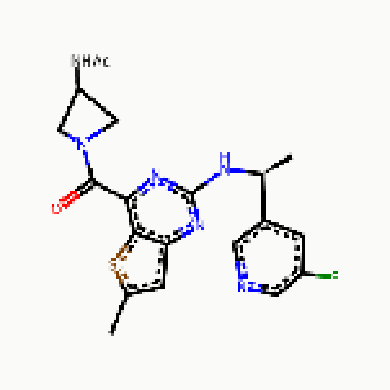 CC(=O)NC1CN(C(=O)c2nc(N[C@@H](C)c3cncc(F)c3)nc3cc(C)sc23)C1